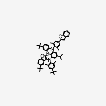 Cc1cc(-c2cc3ccccc3o2)cc(C)c1N1c2ccc(C(C)(C)C)cc2B2c3oc4ccc(C(C)(C)C)cc4c3N(c3c(C)cc(C(C)(C)C)cc3C)c3cc(C(C)C)cc1c32